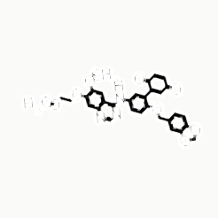 COCCOc1cc2ncnc(Nc3ccc(OCc4ccc5c(c4)OCO5)c(C4=CC(=O)C=CC4=O)c3)c2cc1OC